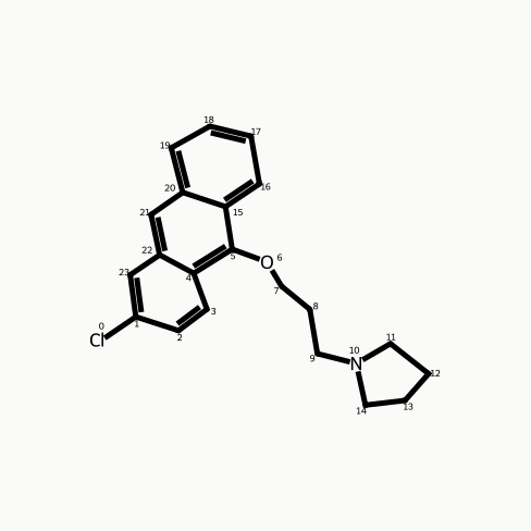 Clc1ccc2c(OCCCN3CCCC3)c3ccccc3cc2c1